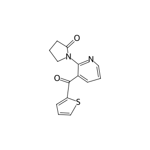 O=C(c1cccs1)c1cccnc1N1CCCC1=O